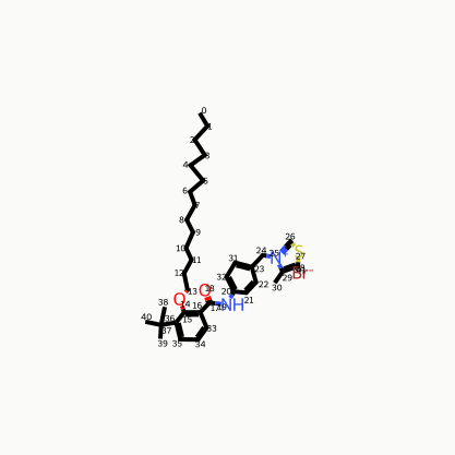 CCCCCCCCCCCCCCOc1c(C(=O)Nc2ccc(C[n+]3cscc3C)cc2)cccc1C(C)(C)C.[Br-]